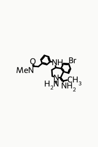 CNC(=O)Cc1cccc(NC2CCN(N)/C(=C(/C)N)c3ccc(Br)cc32)c1